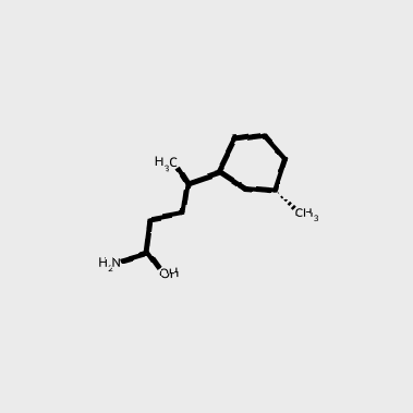 CC(CCC(N)O)C1CCC[C@H](C)C1